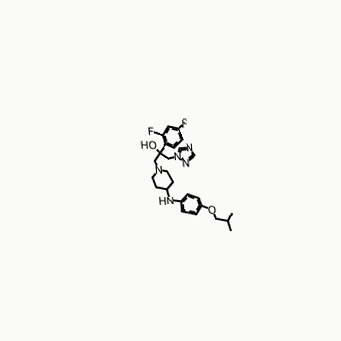 CC(C)COc1ccc(NC2CCN(CC(O)(Cn3cncn3)c3ccc(F)cc3F)CC2)cc1